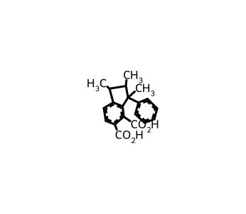 CC1c2ccc(C(=O)O)c(C(=O)O)c2C(C)(c2ccccc2)C1C